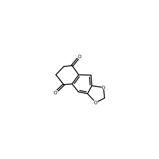 O=C1CCC(=O)c2cc3c(cc21)OCO3